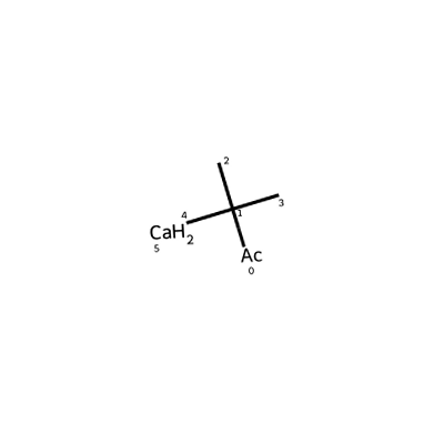 CC(=O)C(C)(C)C.[CaH2]